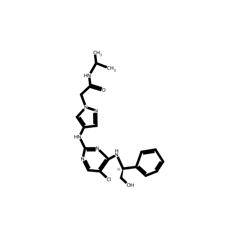 CC(C)NC(=O)Cn1cc(Nc2ncc(Cl)c(N[C@H](CO)c3ccccc3)n2)cn1